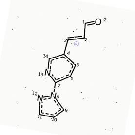 O=C/C=C/c1ccc(-n2cccn2)nc1